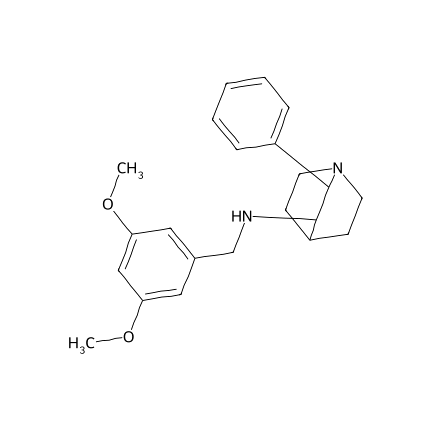 COc1cc(CNC2C3CCN(CC3)C2c2ccccc2)cc(OC)c1